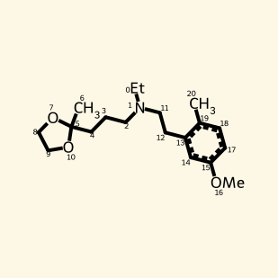 CCN(CCCC1(C)OCCO1)CCc1cc(OC)ccc1C